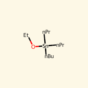 CCC[CH2][Sn]([CH2]CC)([CH2]CC)[O]CC